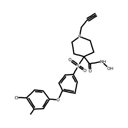 C#CCN1CCC(C(=O)NO)(S(=O)(=O)c2ccc(Oc3ccc(Cl)c(C)c3)cc2)CC1